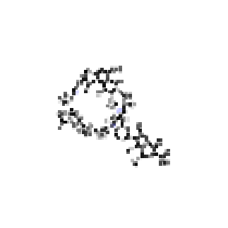 COc1c(N2CCCC(NC(=O)C3CN(C4=C5NC(=O)/C(C)=C\C=C\[C@H](C)[C@H](O)[C@@H](C)[C@@H](O)[C@@H](C)[C@H](OC(C)=O)C[C@@H](OC)/C=C/O[C@@]6(C)Oc7c(C)c(O)c(c(c7C6=O)C4=O)C5=O)C3)C2)c(F)cc2c(=O)c(C(=O)O)cn(C3CC3)c12